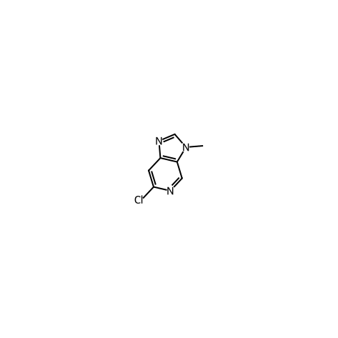 Cn1cnc2cc(Cl)ncc21